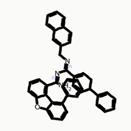 N/C(=N\C(=N/Cc1ccc2ccccc2c1)C1=CCC(c2ccccc2)C=C1)c1cccc2oc3cccc(-c4ccccc4)c3c12